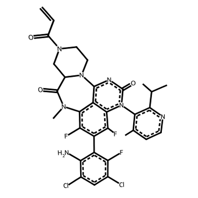 C=CC(=O)N1CCN2c3nc(=O)n(-c4c(C)ccnc4C(C)C)c4c(F)c(-c5c(N)c(Cl)cc(Cl)c5F)c(F)c(c34)N(C)C(=O)C2C1